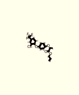 C=CCOC(=O)C(C)Oc1ccc(Oc2ccc(C(F)(F)F)cc2Cl)cc1